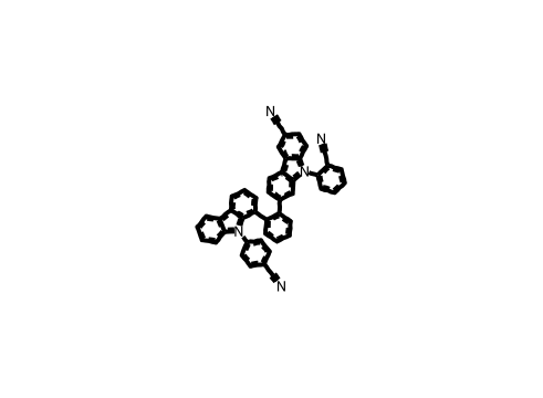 N#Cc1ccc(-n2c3ccccc3c3cccc(-c4ccccc4-c4ccc5c6cc(C#N)ccc6n(-c6ccccc6C#N)c5c4)c32)cc1